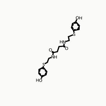 O=C(CCC(=O)NCCSc1ccc(O)cc1)NCCSc1ccc(O)cc1